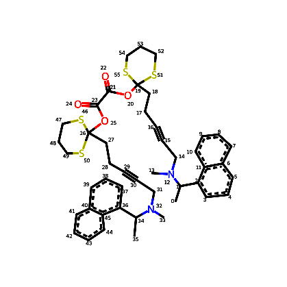 CC(c1cccc2ccccc12)N(C)CC#CCCC1(OC(=O)C(=O)OC2(CCC#CCN(C)C(C)c3cccc4ccccc34)SCCCS2)SCCCS1